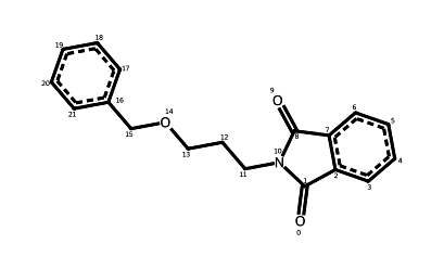 O=C1c2ccccc2C(=O)N1CCCOCc1ccccc1